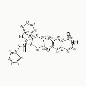 CCC(NCc1ccccc1)C1(c2ccccc2)CCC(Oc2cc3cc[nH]c(=O)c3cc2Cl)CC1